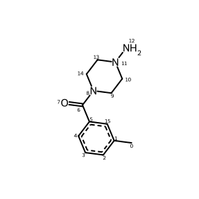 Cc1cccc(C(=O)N2CCN(N)CC2)c1